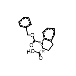 O=C(O)[C@H]1CCc2ccccc2N1C(=O)OCc1ccccc1